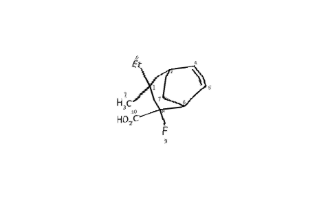 CCC1(C)C2C=CC(C2)C1(F)C(=O)O